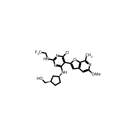 COc1cc2cc(-c3c(Cl)nc(NCC(F)(F)F)nc3N[C@H]3CC[C@@H](CO)C3)oc2c(C)n1